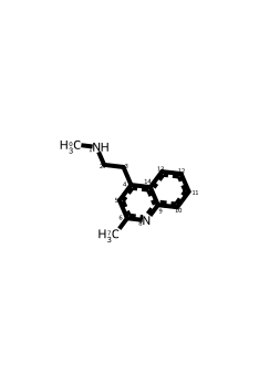 CN[CH]Cc1cc(C)nc2ccccc12